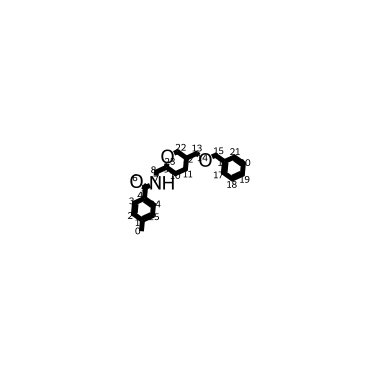 Cc1ccc(C(=O)NCC2CCC(COCc3ccccc3)CO2)cc1